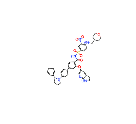 O=C(NS(=O)(=O)c1ccc(NCC2CCOCC2)c([N+](=O)[O-])c1)c1ccc(-c2ccc(N3CCCC3c3ccccc3)cc2)cc1Oc1cnc2[nH]ccc2c1